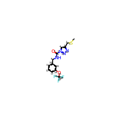 CSCc1cn(C(=O)NCc2cccc(OC(F)(F)F)c2)nn1